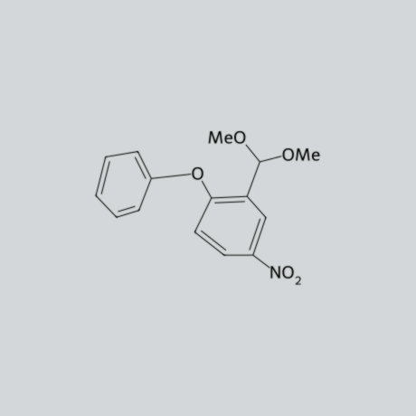 COC(OC)c1cc([N+](=O)[O-])ccc1Oc1ccccc1